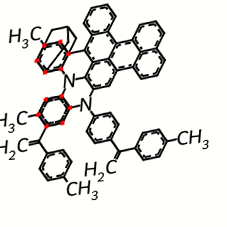 C=C(c1ccc(C)cc1)c1ccc(N(c2ccc(C)cc2)c2cc3c4cccc5cccc(c54)c4c5ccccc5c(C56CC7CC(CC(C7)C5)C6)c(c2N(c2ccc(C)cc2)c2ccc(C(=C)c5ccc(C)cc5)cc2)c34)cc1